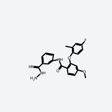 COc1ccc(C(=O)Nc2cccc(C(=N)NN)c2)c(Oc2ccc(F)cc2C)c1